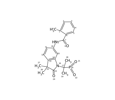 Cc1ccccc1C(=O)Nc1ccc2c(c1)N(C(C)(C)P(=O)=O)C(=O)C2(C)C